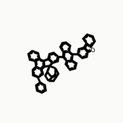 c1ccc(-c2ccc3c(c2)c2c(c4ccccc43)-c3ccc(-c4c5ccccc5c(-c5ccc6oc7ccccc7c6c5)c5ccccc45)cc3C23C2CC4CC(C2)CC3C4)cc1